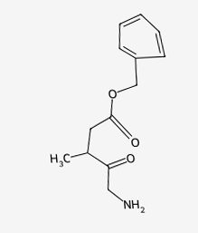 CC(CC(=O)OCc1ccccc1)C(=O)CN